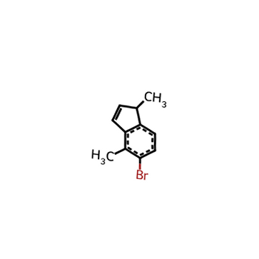 Cc1c(Br)ccc2c1C=CC2C